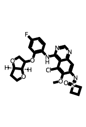 COc1c(N=S2(=O)CCC2)cc2ncnc(Nc3ccc(F)cc3OC3CO[C@@H]4CCO[C@H]34)c2c1Cl